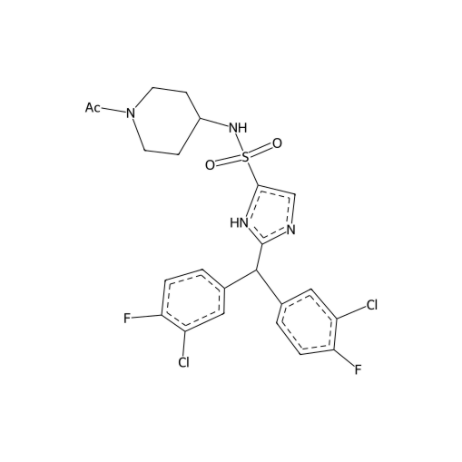 CC(=O)N1CCC(NS(=O)(=O)c2cnc(C(c3ccc(F)c(Cl)c3)c3ccc(F)c(Cl)c3)[nH]2)CC1